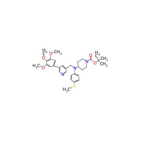 COc1cc(-c2cncc(CN(c3ccc(SC)cc3)C3CCN(C(=O)OC(C)(C)C)CC3)c2)cc(OC)c1OC